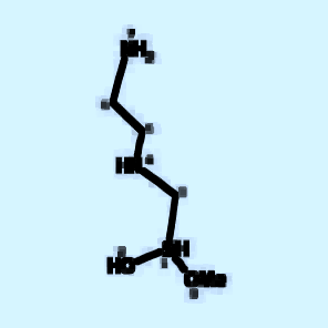 CO[SiH](O)CNCCN